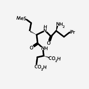 CSCC[C@H](NC(=O)[C@@H](N)CC(C)C)C(=O)N[C@@H](CC(=O)O)C(=O)O